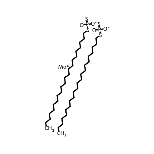 CCCCCCCCCCCCCCCCCCCCCCSP([O-])([O-])=S.CCCCCCCCCCCCCCCCCCCCCCSP([O-])([O-])=S.[Mo+4]